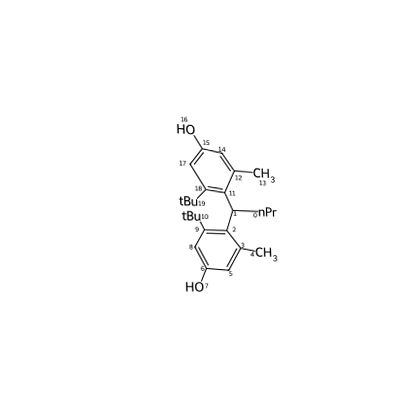 CCCC(c1c(C)cc(O)cc1C(C)(C)C)c1c(C)cc(O)cc1C(C)(C)C